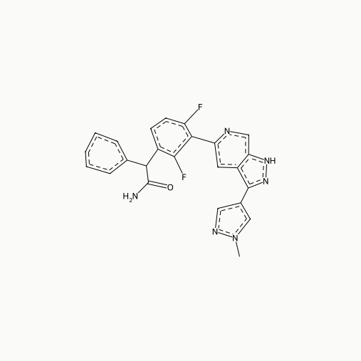 Cn1cc(-c2n[nH]c3cnc(-c4c(F)ccc(C(C(N)=O)c5ccccc5)c4F)cc23)cn1